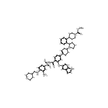 CC(C)(C)OC(=O)N1CCC(c2ccccc2C2CCCN2C2CC=C(c3ccc(C(=O)NS(=O)(=O)c4ccc(NCC5CCOCC5)c([N+](=O)[O-])c4)c(Oc4cnc5[nH]ccc5c4)c3)CC2)CC1